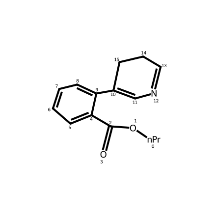 CCCOC(=O)c1ccccc1C1=CN=CCC1